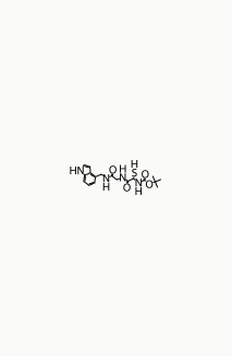 CC(C)(C)OC(=O)NC(S)C(=O)NCC(=O)NCc1cccc2[nH]ccc12